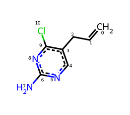 C=CCc1cnc(N)nc1Cl